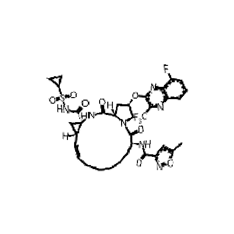 Cc1cc(C(=O)N[C@H]2CCCCCC=C[C@@H]3C[C@@]3(C(=O)NS(=O)(=O)C3CC3)NC(=O)[C@@H]3C[C@@H](Oc4nc5c(F)cccc5nc4C(F)(F)F)CN3C2=O)no1